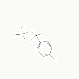 CC(C)(O[Si](C)(C)C(C)(C)C)c1ccc(Br)cn1